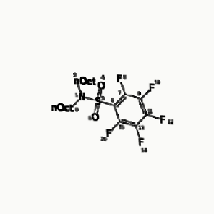 CCCCCCCCN(CCCCCCCC)S(=O)(=O)c1c(F)c(F)c(F)c(F)c1F